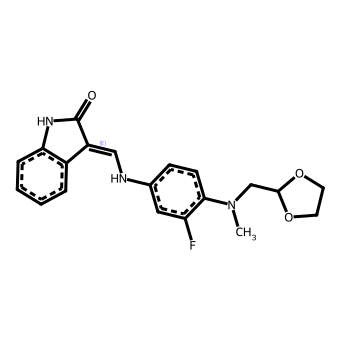 CN(CC1OCCO1)c1ccc(N/C=C2/C(=O)Nc3ccccc32)cc1F